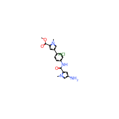 COC(=O)c1cc(-c2ccc(NC(=O)c3cc(N)cn3C)cc2)cn1C.Cl